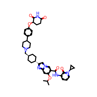 CC(C)Oc1cc2nc([C@H]3CC[C@H](CN4CCC(c5ccc(OC6CCC(=O)NC6=O)cc5)CC4)CC3)cn2cc1C(=O)Nc1cccn(C2CC2)c1=O